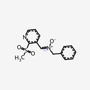 CS(=O)(=O)c1ncccc1/C=[N+](\[O-])Cc1ccccc1